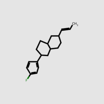 C/C=C/C1CCC2CC(c3ccc(F)cc3)CCC2C1